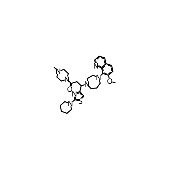 COc1ccc2cccnc2c1N1CCCN(C(CC(=O)N2CCN(C)CC2)c2csc(N3CCCCC3)n2)CC1